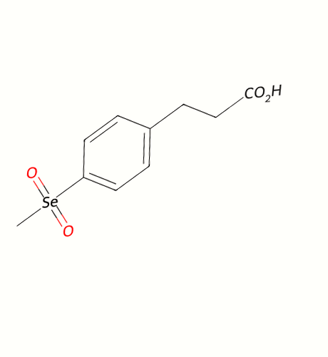 C[Se](=O)(=O)c1ccc(CCC(=O)O)cc1